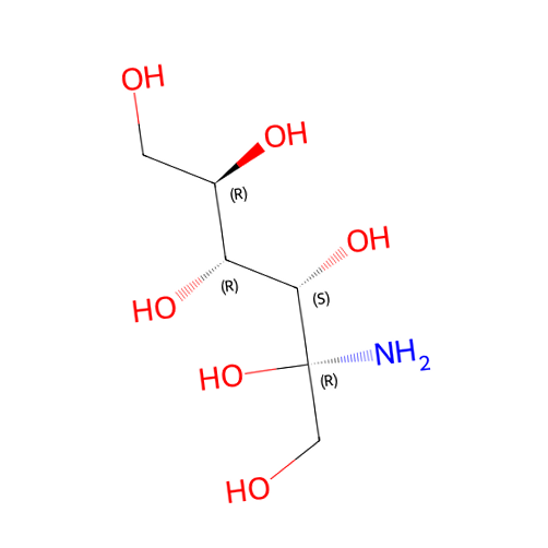 N[C@@](O)(CO)[C@@H](O)[C@H](O)[C@H](O)CO